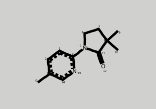 Cc1ccc(N2CCC(C)(C)C2=O)nc1